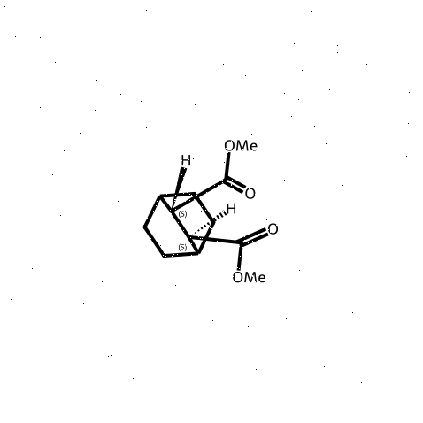 COC(=O)[C@H]1C2CCC(CC2)[C@@H]1C(=O)OC